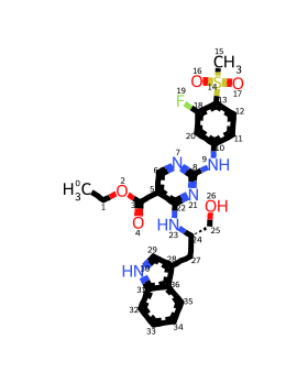 CCOC(=O)c1cnc(Nc2ccc(S(C)(=O)=O)c(F)c2)nc1N[C@H](CO)Cc1c[nH]c2ccccc12